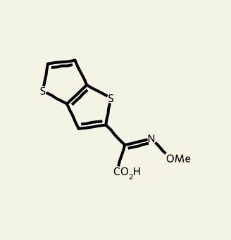 CON=C(C(=O)O)c1cc2sccc2s1